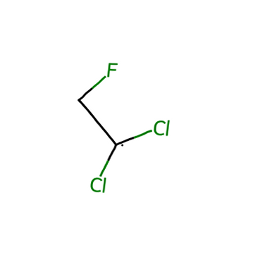 FC[C](Cl)Cl